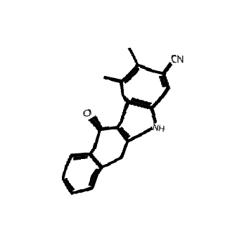 Cc1c(C#N)cc2[nH]c3c(c2c1C)C(=O)c1ccccc1C3